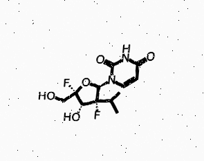 CC(C)[C@]1(F)[C@H](n2ccc(=O)[nH]c2=O)O[C@](F)(CO)[C@H]1O